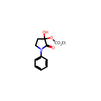 CCOC(=O)OC1(O)CCN(c2ccccc2)C1=O